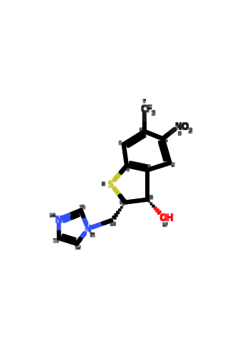 O=[N+]([O-])c1cc2c(cc1C(F)(F)F)S[C@@H](Cn1ccnc1)[C@H]2O